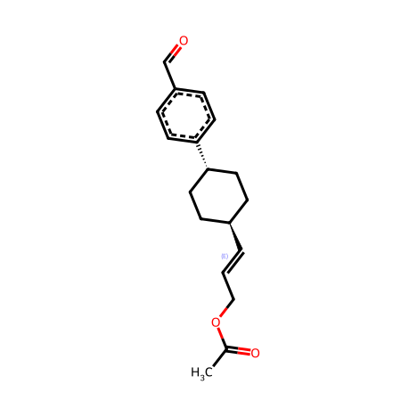 CC(=O)OC/C=C/[C@H]1CC[C@H](c2ccc(C=O)cc2)CC1